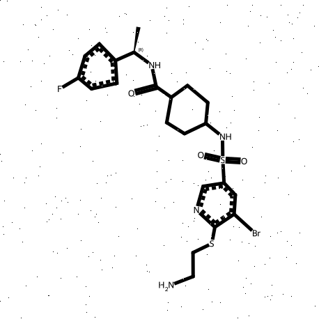 C[C@@H](NC(=O)C1CCC(NS(=O)(=O)c2cnc(SCCN)c(Br)c2)CC1)c1ccc(F)cc1